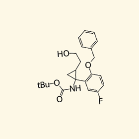 CC(C)(C)OC(=O)NC1(c2cc(F)ccc2OCc2ccccc2)CC1CCO